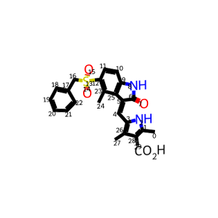 Cc1[nH]c(/C=C2\C(=O)Nc3ccc(S(=O)(=O)Cc4ccccc4)c(C)c32)c(C)c1C(=O)O